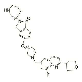 O=C1c2ccc(O[C@H]3CCN(Cc4cc(F)c5nc(C6CCOCC6)ccc5c4)C3)cc2CN1[C@H]1CCCNC1